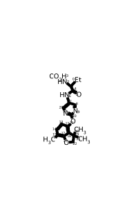 CCC(NC(=O)O)C(=O)Nc1cnc(Oc2ccc(C)c3c2C(C)(C)CO3)nc1